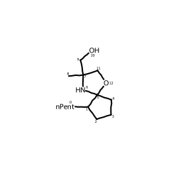 CCCCCC1CCCC12NC(C)(CO)CO2